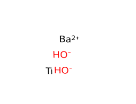 [Ba+2].[OH-].[OH-].[Ti]